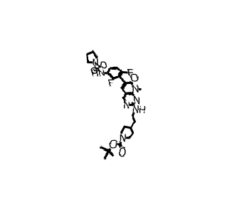 Cn1c(=O)c(-c2c(F)ccc(NS(=O)(=O)N3CCCC3)c2F)cc2cnc(NCCC3CCN(C(=O)OC(C)(C)C)CC3)nc21